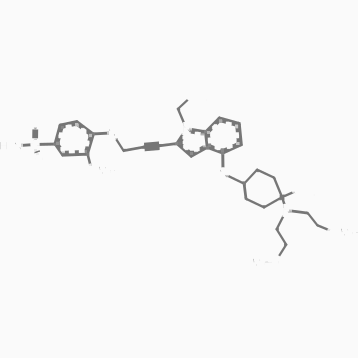 COCCN(CCOC)C1(C)CCC(Nc2cccc3c2cc(C#CCNc2ccc(S(N)(=O)=O)cc2OC)n3CC(F)(F)F)CC1